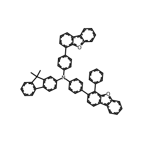 CC1(C)c2ccccc2-c2ccc(N(c3ccc(-c4ccc5c(oc6ccccc65)c4-c4ccccc4)cc3)c3ccc(-c4cccc5c4oc4ccccc45)cc3)cc21